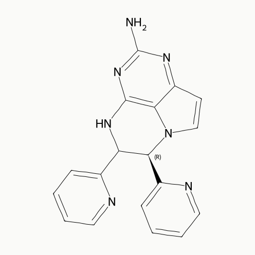 Nc1nc2c3c(ccn3[C@@H](c3ccccn3)C(c3ccccn3)N2)n1